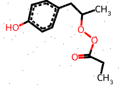 CCC(=O)OOC(C)Cc1ccc(O)cc1